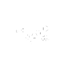 CCN(CC)CCN(c1cc2oc(-c3ccc(F)cc3)c(C(=O)NC)c2cc1C1CC1)S(C)(=O)=O